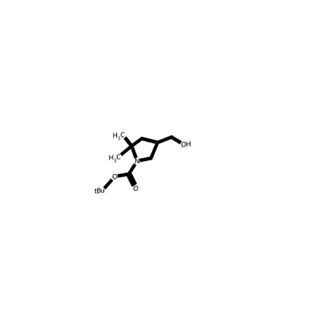 CC(C)(C)OC(=O)N1CC(CO)CC1(C)C